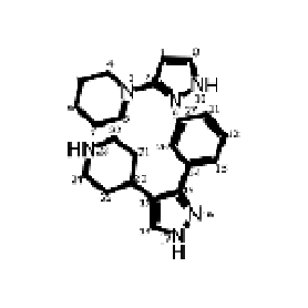 c1cc(N2CCCCC2)n[nH]1.c1ccc(-c2n[nH]cc2C2CCNCC2)cc1